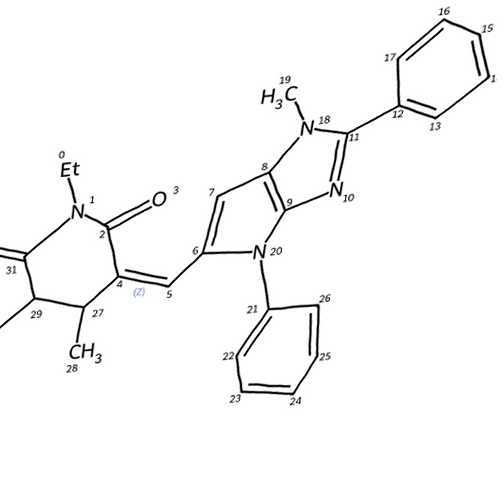 CCN1C(=O)/C(=C\c2cc3c(nc(-c4ccccc4)n3C)n2-c2ccccc2)C(C)C(C#N)C1=O